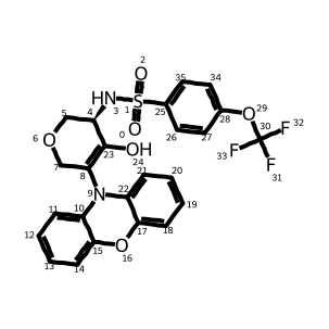 O=S(=O)(N[C@@H]1COCC(N2c3ccccc3Oc3ccccc32)=C1O)c1ccc(OC(F)(F)F)cc1